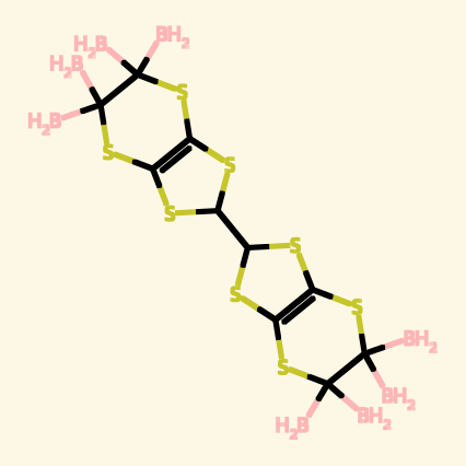 BC1(B)SC2=C(SC(C3SC4=C(S3)SC(B)(B)C(B)(B)S4)S2)SC1(B)B